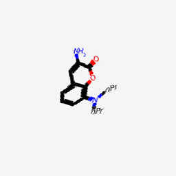 CCCN(CCC)c1cccc2cc(N)c(=O)oc12